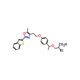 CCC(COC(C)c1ccc(OCCc2nc(-c3cc4ccccc4s3)oc2C)cc1)C(=O)O